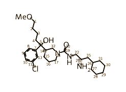 COCCCC[C@@](O)(c1cccc(Cl)c1)[C@@H]1CCCN(C(=O)NC[C@@H](N)CC2CCCCC2)C1